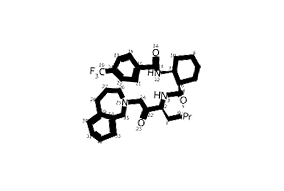 CC(C)C[C@H](NC(=O)[C@@H]1CCCC[C@@H]1NC(=O)c1ccc(C(F)(F)F)cc1)C(=O)CN1CCCc2ccccc2C1